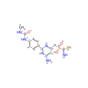 CNC(=O)Nc1ccc(-c2nc(N)cc(CS(=O)(=O)C(=N)S)n2)cc1